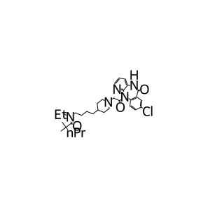 CCCC(C)(C)C(=O)N(CC)CCCCC1CCN(CC(=O)N2c3ccc(Cl)cc3C(=O)Nc3cccnc32)CC1